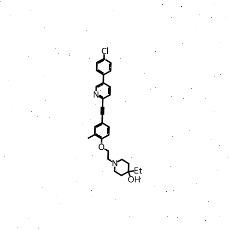 CCC1(O)CCN(CCOc2ccc(C#Cc3ccc(-c4ccc(Cl)cc4)cn3)cc2C)CC1